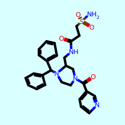 NS(=O)(=O)CCC(=O)NCC1CN(C(=O)c2cccnc2)CCN1C(c1ccccc1)c1ccccc1